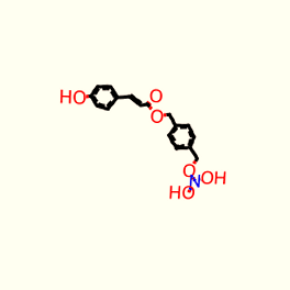 O=C(/C=C/c1ccc(O)cc1)OCc1ccc(CON(O)O)cc1